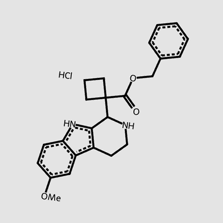 COc1ccc2[nH]c3c(c2c1)CCNC3C1(C(=O)OCc2ccccc2)CCC1.Cl